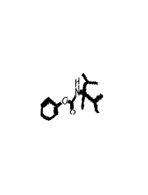 CC(C)C(C)(NC(=O)Oc1ccccc1)C(C)C